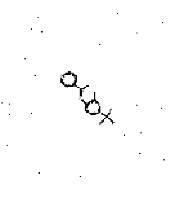 C/C(=N\c1ccc(C(F)(F)F)nc1C)c1ccncc1